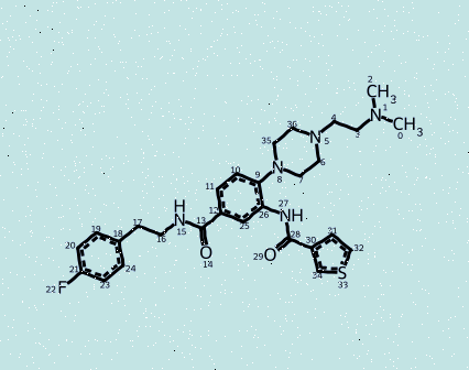 CN(C)CCN1CCN(c2ccc(C(=O)NCCc3ccc(F)cc3)cc2NC(=O)c2ccsc2)CC1